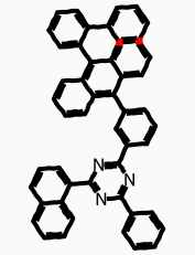 c1ccc(-c2nc(-c3cccc(-c4c5ccccc5c(-c5ccccc5-c5ccccc5)c5ccccc45)c3)nc(-c3cccc4ccccc34)n2)cc1